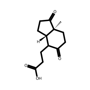 C[C@]12CCC(=O)C(CCC(=O)O)[C@@H]1CCC2=O